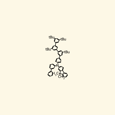 CC(C)(C)c1cc(-c2ccc(N(c3cccc(-c4ccccc4)c3)c3ccc4c(c3)C(C)(C)c3ccccc3-4)cc2)cc(-c2cc(-c3cc(C(C)(C)C)cc(C(C)(C)C)c3)cc(C(C)(C)C)c2)c1